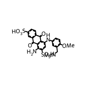 CNCc1cc(Nc2cc(S(=O)(=O)O)c(N)c3c2C(=O)c2ccc(S(=O)(=O)O)cc2C3=O)ccc1OC